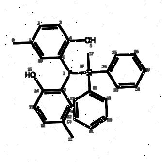 Cc1ccc(O)c(P(c2cc(C)ccc2O)[Si](C)(c2ccccc2)c2ccccc2)c1